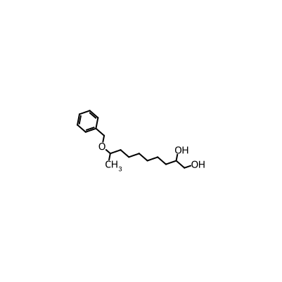 CC(CCCCCCC(O)CO)OCc1ccccc1